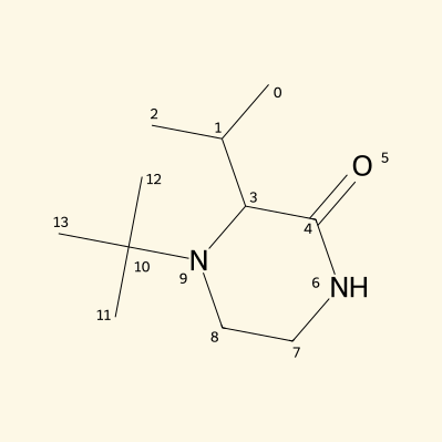 CC(C)C1C(=O)NCCN1C(C)(C)C